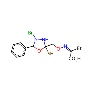 CCC(=NOCC1(S)NN(Br)C(c2ccccc2)O1)C(=O)O